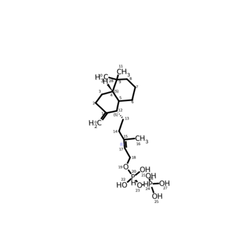 C=C1CC[C@H]2C(CCCC2(C)C)[C@@H]1CC/C(C)=C/CO[PH](O)(O)O[PH](O)(O)O